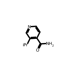 CC(C)c1cnccc1C(N)=O